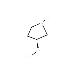 CCN1CC[C@H](OC(C)(C)C)C1